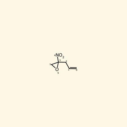 C=CCC1([N+](=O)[O-])CO1